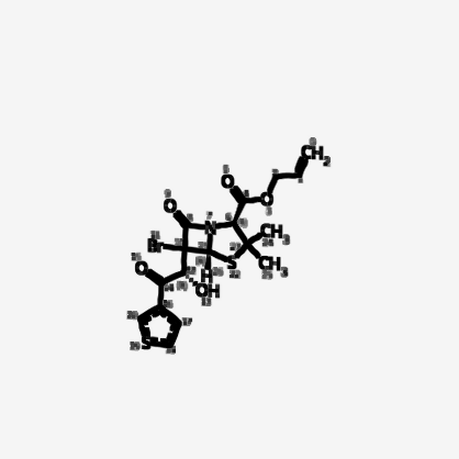 C=CCOC(=O)[C@@H]1N2C(=O)C(Br)([C@H](O)C(=O)c3ccsc3)[C@H]2SC1(C)C